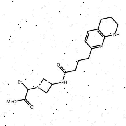 CCC(C(=O)OC)N1CC(NC(=O)CCCc2ccc3c(n2)NCCC3)C1